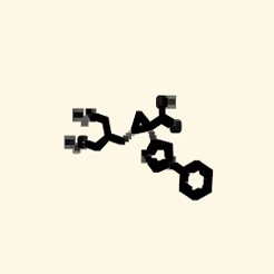 CC[C@@H](CN)C[C@@H]1C[C@]1(C(=O)O)c1cn(-c2ccccc2)cn1